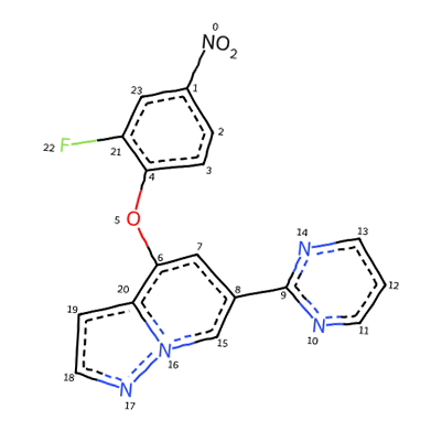 O=[N+]([O-])c1ccc(Oc2cc(-c3ncccn3)cn3nccc23)c(F)c1